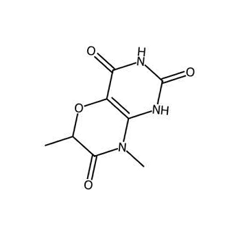 CC1Oc2c([nH]c(=O)[nH]c2=O)N(C)C1=O